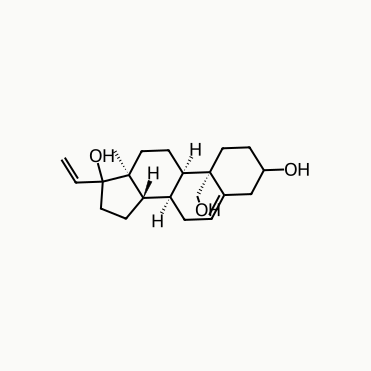 C=CC1(O)CC[C@H]2[C@@H]3CC=C4CC(O)CC[C@]4(CO)[C@@H]3CC[C@@]21C